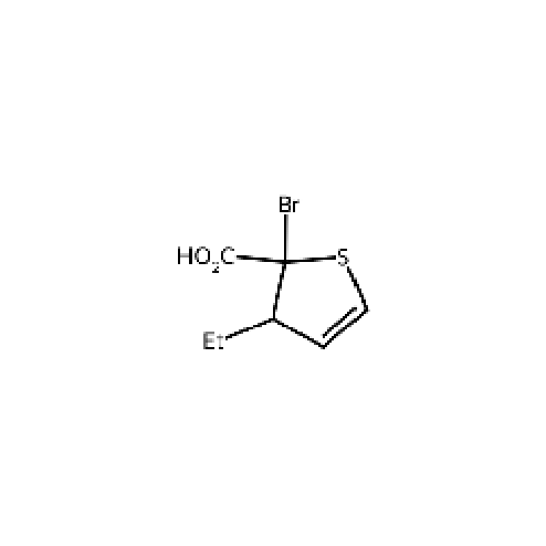 CCC1C=CSC1(Br)C(=O)O